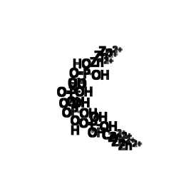 O=P(O)(O)O.O=P(O)(O)O.O=P(O)(O)O.O=P(O)(O)O.[Ca+2].[O-2].[Zn+2].[Zn+2].[Zn+2].[Zn+2].[Zn+2].[Zn+2]